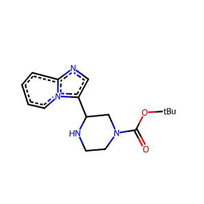 CC(C)(C)OC(=O)N1CCNC(c2cnc3ccccn23)C1